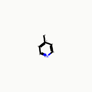 Cc1[c][c]nc[c]1